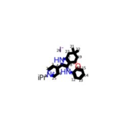 CC(C)[n+]1ccc(-c2[nH]c3c(c2Nc2ccccc2)C(=O)CC(C)(C)C3)cc1.[I-]